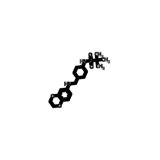 CC(C)(C)S(=O)(=O)NC1CCC(CNc2ccc3c(c2)OCCO3)CC1